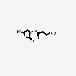 O=CCCC(=O)N[C@H]1CC(S)OC1=O